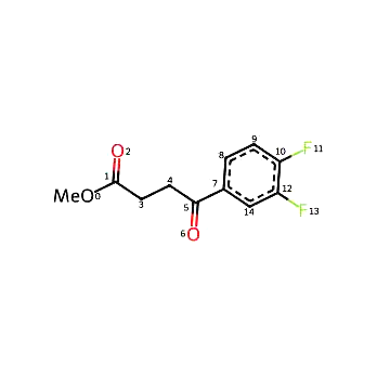 COC(=O)CCC(=O)c1ccc(F)c(F)c1